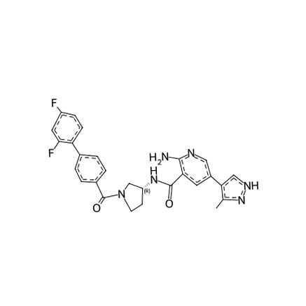 Cc1n[nH]cc1-c1cnc(N)c(C(=O)N[C@@H]2CCN(C(=O)c3ccc(-c4ccc(F)cc4F)cc3)C2)c1